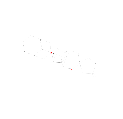 Cc1noc(N2C3CCCC2CC(N2CCC4(CC2)CNC(=O)C4)C3)n1